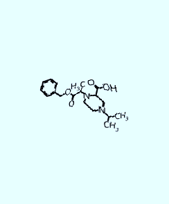 CC(C)N1CCN(C(C)C(=O)OCc2ccccc2)C(C(=O)O)C1